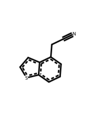 N#CCc1cccc2sccc12